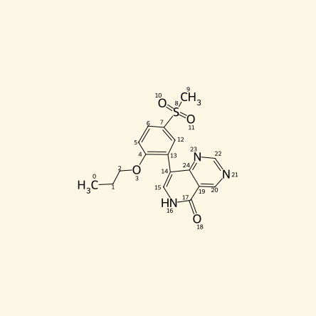 CCCOc1ccc(S(C)(=O)=O)cc1-c1c[nH]c(=O)c2cncnc12